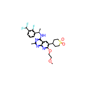 COCCOc1nc2nc(C)nc(N[C@H](C)c3cccc(C(F)F)c3F)c2cc1C1CCS(=O)(=O)CC1